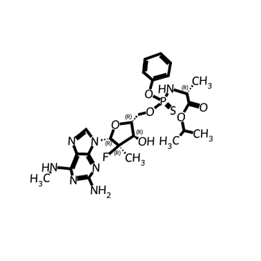 CNc1nc(N)nc2c1ncn2[C@@H]1O[C@H](COP(=S)(N[C@H](C)C(=O)OC(C)C)Oc2ccccc2)[C@@H](O)[C@@]1(C)F